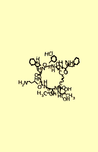 CC(O)[C@@H]1NC(=O)[C@H](CCCCN)NC(=O)[C@@H](Cc2c[nH]c3ccccc23)NC(=O)[C@H](Cc2ccccc2)NC(=O)[C@@H](NC(=O)[C@H](N)Cc2ccccc2)CSSC[C@@H](C(=O)N[C@H](CO)[C@@H](C)O)NC1=O.Cl